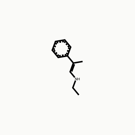 CCN/C=C(\C)c1ccccc1